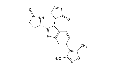 Cc1noc(C)c1-c1ccc2c(c1)nc([C@@H]1CCC(=O)N1)n2[C@H]1SC=CC1=O